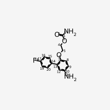 NC(=O)OCCOc1ccc(N)cc1-c1ccc(F)cc1